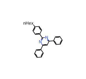 CCCCCCc1ccc(-c2nc(-c3ccccc3)cc(-c3ccccc3)n2)cc1